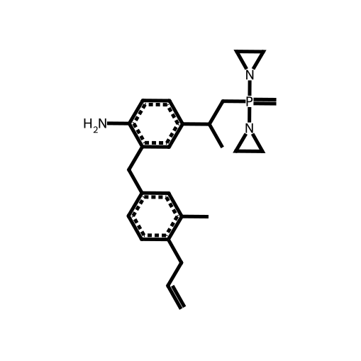 C=CCc1ccc(Cc2cc(C(C)CP(=C)(N3CC3)N3CC3)ccc2N)cc1C